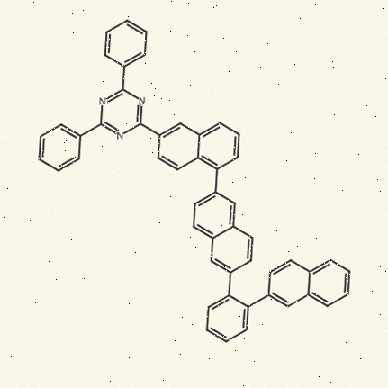 c1ccc(-c2nc(-c3ccccc3)nc(-c3ccc4c(-c5ccc6cc(-c7ccccc7-c7ccc8ccccc8c7)ccc6c5)cccc4c3)n2)cc1